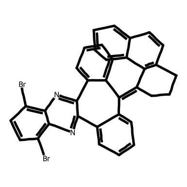 Brc1ccc(Br)c2nc3c(nc12)-c1ccccc1C(=C1CCCc2ccc4ccccc4c21)c1ccccc1-3